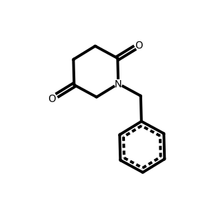 O=C1CCC(=O)N(Cc2ccccc2)C1